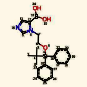 CC(C)(C)[Si](OCCn1cncc1B(O)O)(c1ccccc1)c1ccccc1